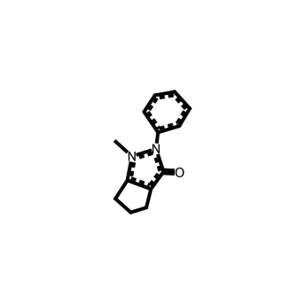 Cn1c2c(c(=O)n1-c1ccccc1)CCC2